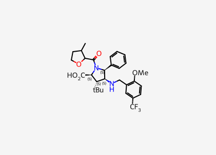 COc1ccc(C(F)(F)F)cc1CN[C@H]1[C@H](C(C)(C)C)[C@@H](C(=O)O)N(C(=O)C2OCCC2C)[C@H]1c1ccccc1